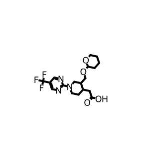 O=C(O)CC1CCN(c2ncc(C(F)(F)F)cn2)CC1COC1CCCCO1